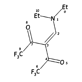 CCN(C=C(C(=O)C(F)(F)F)C(=O)C(F)(F)F)CC